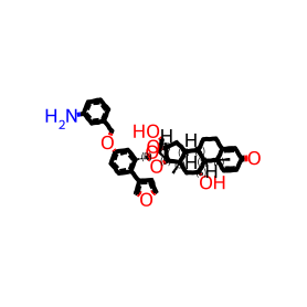 C[C@]12C=CC(=O)C=C1CC[C@@H]1[C@@H]2[C@@H](O)C[C@@]2(C)[C@H]1C[C@H]1O[C@@H](c3cc(OCc4cccc(N)c4)ccc3-c3ccoc3)O[C@]12C(=O)CO